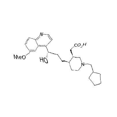 COc1ccc2nccc([C@@H](O)CC[C@@H]3CCN(CC4CCCC4)C[C@@H]3CC(=O)O)c2c1